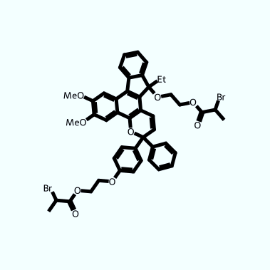 CCC1(OCCOC(=O)C(C)Br)c2ccccc2-c2c1c1c(c3cc(OC)c(OC)cc23)OC(c2ccccc2)(c2ccc(OCCOC(=O)C(C)Br)cc2)C=C1